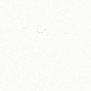 COc1ccc2[nH]c3c(c2c1F)C[C@@]1(C)C(=O)N(CCCN(C)C(C)C)C(=O)N1[C@@H]3C1=CC(O)CC=C1